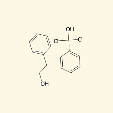 OC(Cl)(Cl)c1ccccc1.OCCc1ccccc1